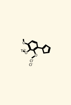 COc1ccc(C2=CC=CC2)c(OC)c1[O][Ti+2].[Cl-].[Cl-]